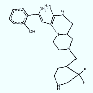 NC1=C(/C=C(\N)c2ccccc2O)N2CCN(CC3CCNCC3(F)F)CC2CN1